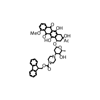 COc1cccc2c1C(=O)c1c(O)c3c(c(O)c1C2=O)C[C@@](O)(C(C)=O)C[C@@H]3O[C@H]1CC(N2CCN(C(=O)OCC3c4ccccc4-c4ccccc43)CC2)C(O)[C@H](C)O1